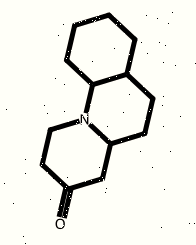 O=C1CCN2C(CCC3CCCCC32)C1